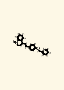 CN1CC=C(C=Cc2ccc(OCc3ccccn3)cc2)c2ccccc21